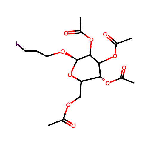 CC(=O)OCC1O[C@@H](OCCCI)C(OC(C)=O)C(OC(C)=O)[C@@H]1OC(C)=O